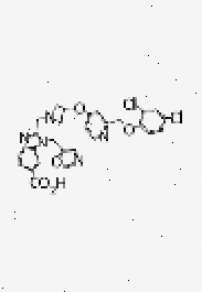 O=C(O)c1ccc2nc(CN3CC(Oc4ccnc(COc5ccc(Cl)cc5Cl)c4)C3)n(Cc3cnco3)c2c1